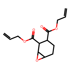 C=CCOC(=O)C1CCC2OC2C1C(=O)OCC=C